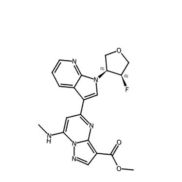 CNc1cc(-c2cn([C@H]3COC[C@H]3F)c3ncccc23)nc2c(C(=O)OC)cnn12